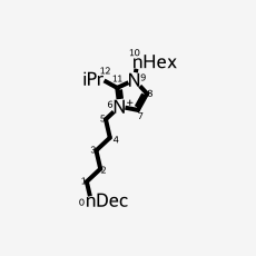 CCCCCCCCCCCCCCC[n+]1ccn(CCCCCC)c1C(C)C